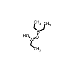 C[CH2][Al]([OH])[O][Al]([CH2]C)[CH2]C